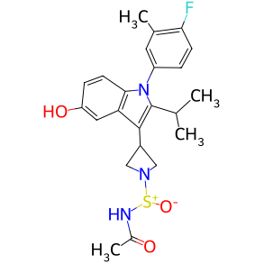 CC(=O)N[S+]([O-])N1CC(c2c(C(C)C)n(-c3ccc(F)c(C)c3)c3ccc(O)cc23)C1